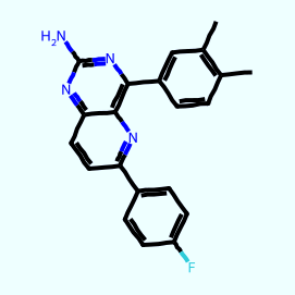 Cc1ccc(-c2nc(N)nc3ccc(-c4ccc(F)cc4)nc23)cc1C